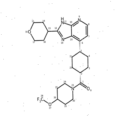 O=C([C@H]1CC[C@@H](c2ccnc3[nH]c(C4CCOCC4)nc32)CC1)N1CCC(OC(F)(F)F)CC1